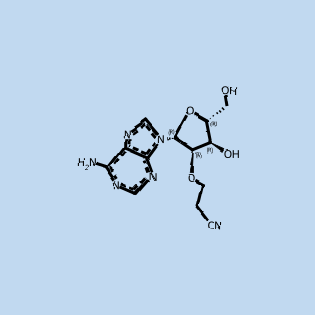 N#CCCO[C@@H]1[C@H](O)[C@@H](CO)O[C@H]1n1cnc2c(N)ncnc21